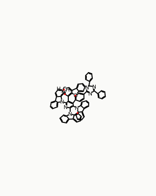 C=C/C(c1c(-n2c3ccccc3c3ccccc32)nc(-n2c3ccccc3c3ccccc32)c(-n2c3ccccc3c3ccccc32)c1-c1ccc(-c2nc(-c3ccccc3)nc(-c3ccccc3)n2)cc1)=c1/oc2ccccc2/c1=C/C